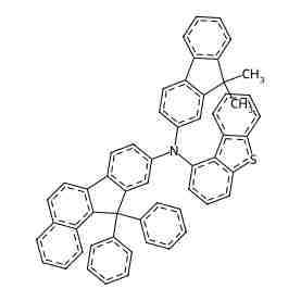 CC1(C)c2ccccc2-c2ccc(N(c3ccc4c(c3)C(c3ccccc3)(c3ccccc3)c3c-4ccc4ccccc34)c3cccc4sc5ccccc5c34)cc21